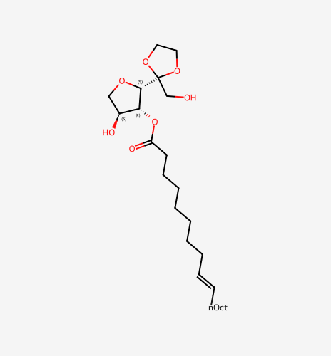 CCCCCCCCC=CCCCCCCCC(=O)O[C@@H]1[C@@H](O)CO[C@@H]1C1(CO)OCCO1